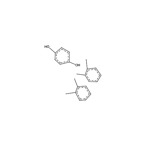 Cc1ccccc1C.Cc1ccccc1C.Oc1ccc(O)cc1